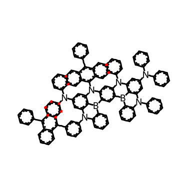 c1ccc(-c2c3ccccc3c(-c3cccc(N4c5ccccc5B5c6cc7c(cc6N(c6c8ccccc8c(-c8ccccc8)c8ccccc68)c6cc(N(c8ccccc8)c8ccccc8)cc4c65)N(c4ccccc4)c4cc(N(c5ccccc5)c5ccccc5)cc5c4B7c4ccccc4N5c4ccccc4)c3)c3ccccc23)cc1